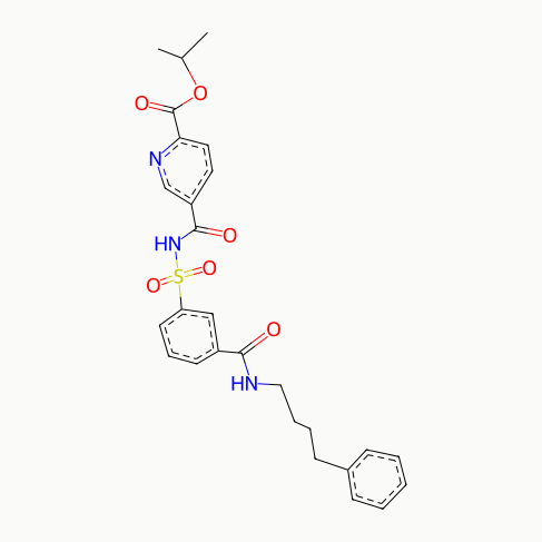 CC(C)OC(=O)c1ccc(C(=O)NS(=O)(=O)c2cccc(C(=O)NCCCCc3ccccc3)c2)cn1